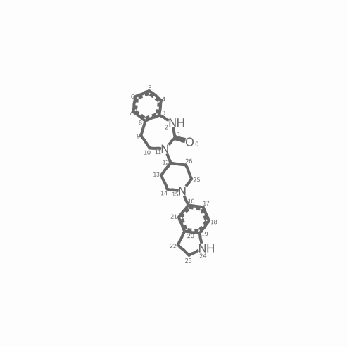 O=C1Nc2ccccc2CCN1C1CCN(c2ccc3c(c2)CCN3)CC1